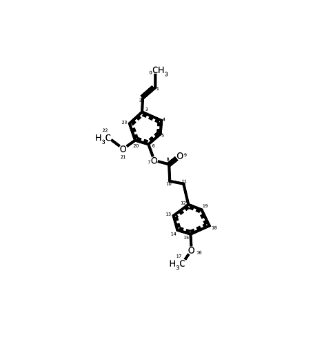 C/C=C/c1ccc(OC(=O)CCc2ccc(OC)cc2)c(OC)c1